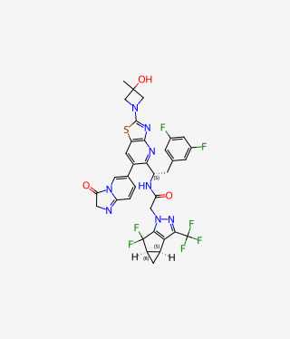 CC1(O)CN(c2nc3nc([C@H](Cc4cc(F)cc(F)c4)NC(=O)Cn4nc(C(F)(F)F)c5c4C(F)(F)[C@@H]4C[C@H]54)c(C4=CN5C(=O)CN=C5C=C4)cc3s2)C1